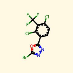 FC(F)(F)c1c(Cl)ccc(-c2nnc(Br)o2)c1Cl